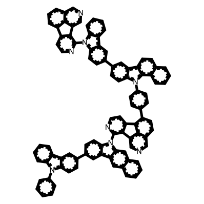 c1ccc(-n2c3ccccc3c3cc(-c4ccc5c(c4)c4cc6ccccc6cc4n5-c4nccc5c4-c4cncc6ccc(-c7ccc(-n8c9ccc(-c%10ccc%11c(c%10)c%10ccccc%10n%11-c%10nccc%11c%10-c%10cncc%12cccc-%11c%10%12)cc9c9ccc%10ccccc%10c98)cc7)c-5c46)ccc32)cc1